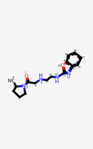 N#CC1CCCN1C(=O)CNCCNc1nc2ccccc2o1